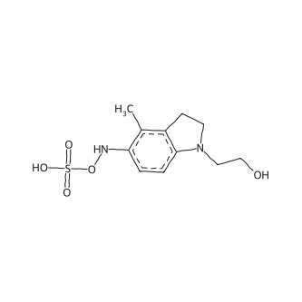 Cc1c(NOS(=O)(=O)O)ccc2c1CCN2CCO